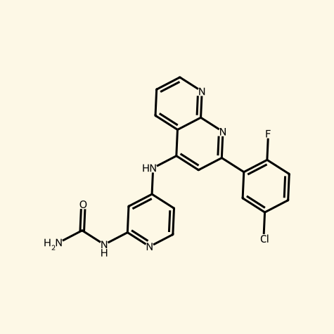 NC(=O)Nc1cc(Nc2cc(-c3cc(Cl)ccc3F)nc3ncccc23)ccn1